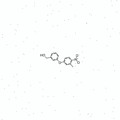 Cc1cc(Oc2cccc(CO)c2)ccc1[N+](=O)[O-]